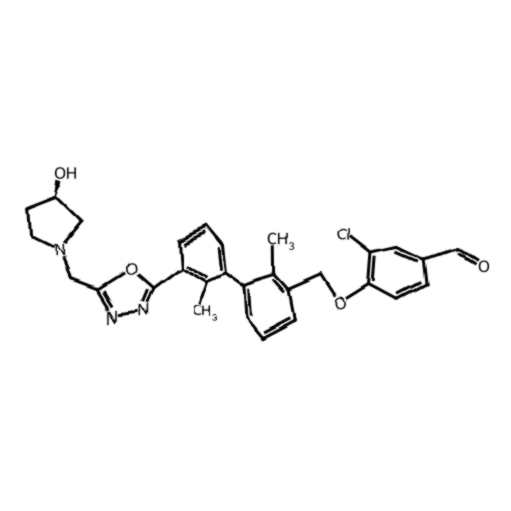 Cc1c(COc2ccc(C=O)cc2Cl)cccc1-c1cccc(-c2nnc(CN3CC[C@@H](O)C3)o2)c1C